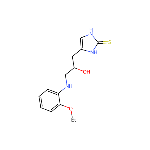 CCOc1ccccc1NCC(O)Cc1c[nH]c(=S)[nH]1